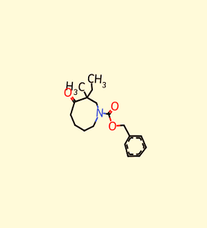 CCC1(C)CN(C(=O)OCc2ccccc2)CCCCC1=O